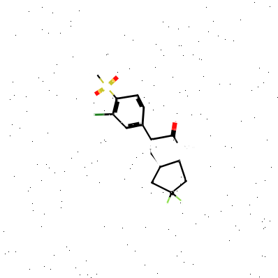 COC(=O)[C@H](C[C@H]1CCC(F)(F)C1)c1ccc(S(C)(=O)=O)c(Cl)c1